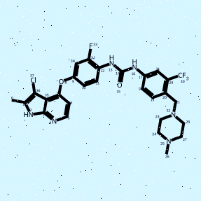 Cc1[nH]c2nccc(Oc3ccc(NC(=O)Nc4ccc(CN5CCN(C)CC5)c(C(F)(F)F)c4)c(F)c3)c2c1Cl